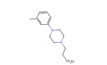 CCOC(=O)CCN1CCN(c2cccc(C)c2)CC1